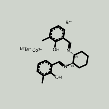 Cc1cccc(C=N[C@@H]2CCCC[C@H]2N=Cc2cccc(C)c2O)c1O.[Br-].[Br-].[Br-].[Co+3]